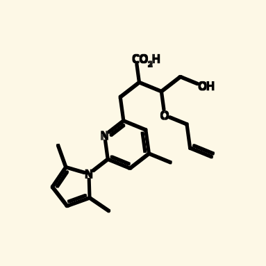 C=CCOC(CO)C(Cc1cc(C)cc(-n2c(C)ccc2C)n1)C(=O)O